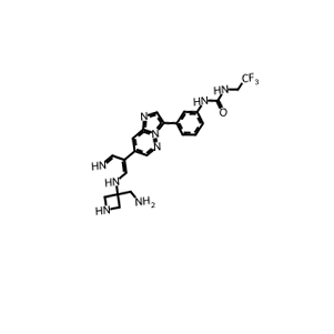 N=C/C(=C\NC1(CN)CNC1)c1cnn2c(-c3cccc(NC(=O)NCC(F)(F)F)c3)cnc2c1